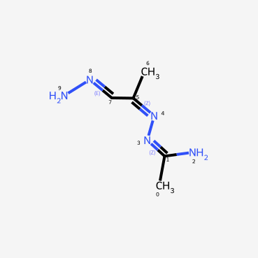 C/C(N)=N/N=C(C)\C=N\N